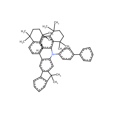 Cc1ccc2c(c1N(c1ccc(-c3ccccc3)cc1)c1cc3c(cc1-c1ccc4c(c1)C(C)(C)CCC4(C)C)-c1ccccc1C3(C)C)C(C)(C)CCC2(C)C